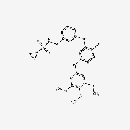 COc1cc(Nc2ncc(Cl)c(Nc3cccc(CNS(=O)(=O)C4CC4)c3)n2)cc(OC)c1OC